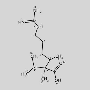 CC(CCCNC(=N)N)[C@@](C)(C(=O)O)N(C)C